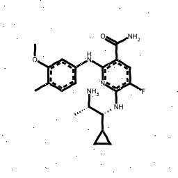 COc1cc(Nc2nc(N[C@H](C3CC3)[C@H](C)N)c(F)cc2C(N)=O)ccc1C